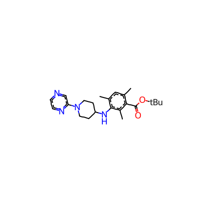 Cc1cc(C)c(C(=O)OC(C)(C)C)c(C)c1NC1CCN(c2cnccn2)CC1